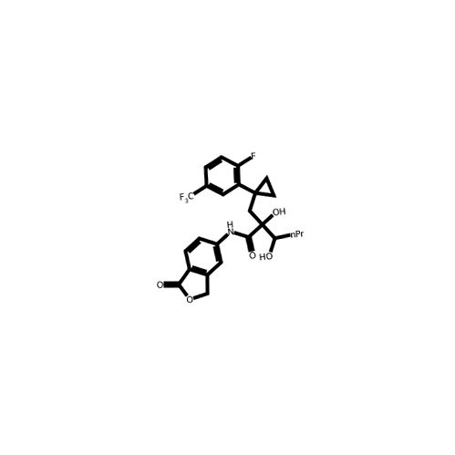 CCCC(O)C(O)(CC1(c2cc(C(F)(F)F)ccc2F)CC1)C(=O)Nc1ccc2c(c1)COC2=O